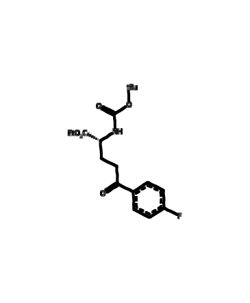 CCOC(=O)[C@@H](CCC(=O)c1ccc(F)cc1)NC(=O)OC(C)(C)C